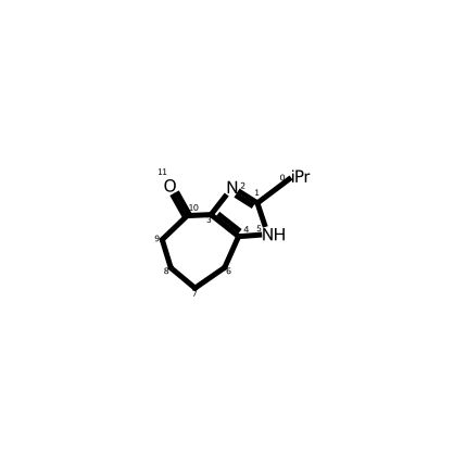 CC(C)c1nc2c([nH]1)CCCCC2=O